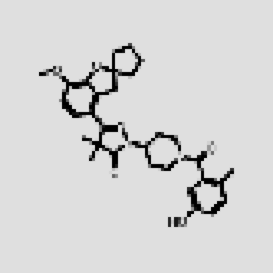 COc1ccc(C2=NN(C3CCN(C(=O)c4cc(O)ccc4C)CC3)C(=O)C2(C)C)c2c1OC1(CCCC1)C2